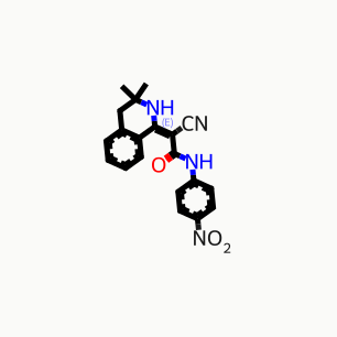 CC1(C)Cc2ccccc2/C(=C(/C#N)C(=O)Nc2ccc([N+](=O)[O-])cc2)N1